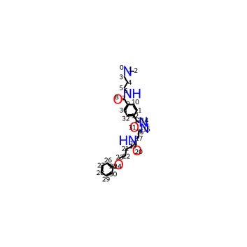 CN(C)CCCNC(=O)c1ccc(-c2nnc(CNC(=O)CCCOc3ccccc3)o2)cc1